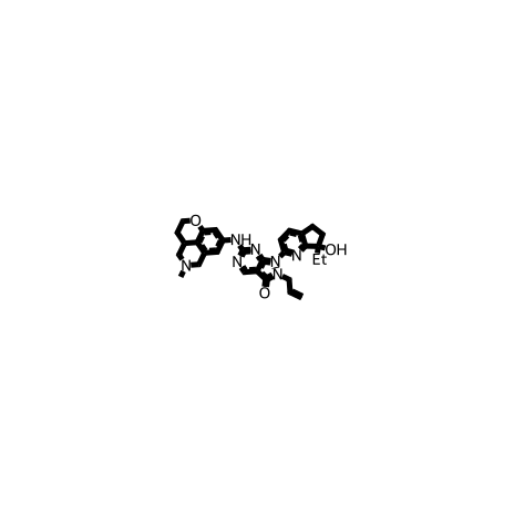 C=CCn1c(=O)c2cnc(Nc3cc4c5c(c3)OCCC5CN(C)C4)nc2n1-c1ccc2c(n1)C(O)(CC)CC2